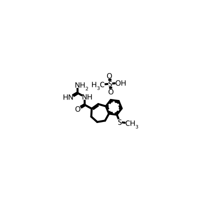 CS(=O)(=O)O.CSc1cccc2c1CCCC(C(=O)NC(=N)N)=C2